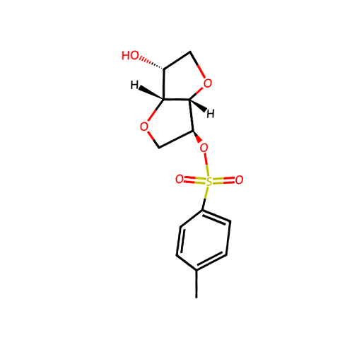 Cc1ccc(S(=O)(=O)O[C@H]2CO[C@H]3[C@@H]2OC[C@H]3O)cc1